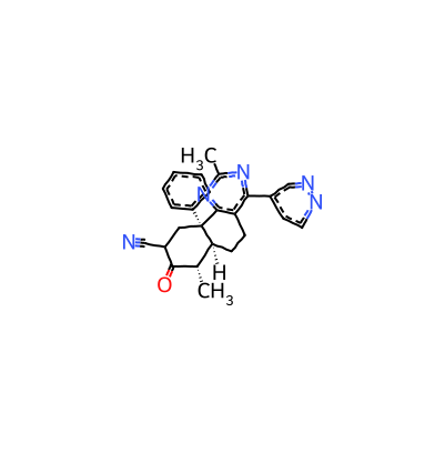 Cc1nc(-c2ccnnc2)c2c(n1)[C@]1(c3ccccc3)CC(C#N)C(=O)[C@@H](C)[C@@H]1CC2